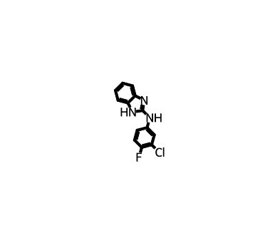 Fc1ccc(Nc2nc3ccccc3[nH]2)cc1Cl